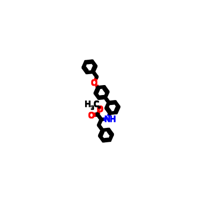 COC(=O)C(Cc1ccccc1)Nc1cccc(-c2ccc(OCc3ccccc3)cc2)c1